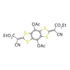 CCOC(=O)C(C#N)=C1Sc2c(OC(C)=O)c3c(c(OC(C)=O)c2S1)SC(=C(C#N)C(=O)OCC)S3